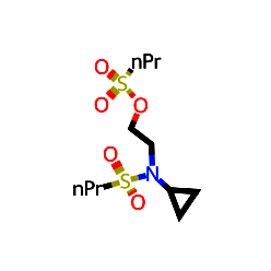 CCCS(=O)(=O)OCCN(C1CC1)S(=O)(=O)CCC